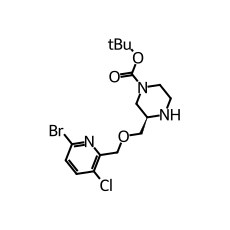 CC(C)(C)OC(=O)N1CCN[C@@H](COCc2nc(Br)ccc2Cl)C1